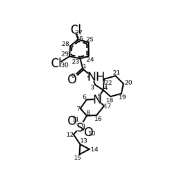 O=C(NCC1(N2CCC(S(=O)(=O)CC3CC3)CC2)CCCCC1)c1ccc(Cl)cc1Cl